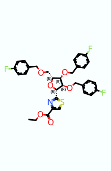 CCOC(=O)c1csc([C@@H]2O[C@H](COCc3ccc(F)cc3)[C@@H](OCc3ccc(F)cc3)[C@H]2OCc2ccc(F)cc2)n1